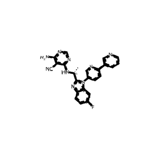 C[C@@H](Nc1ncnc(N)c1C#N)c1nc2ccc(F)cc2n1-c1ccc(-c2cccnc2)nc1